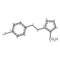 O=C(O)c1ccnn1CCc1ccc(F)cc1